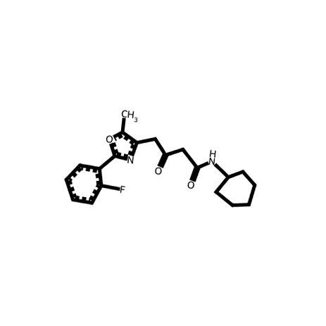 Cc1oc(-c2ccccc2F)nc1CC(=O)CC(=O)NC1CCCCC1